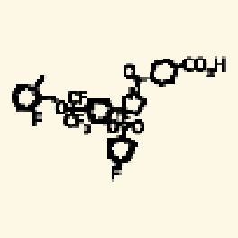 Cc1cccc(F)c1COC(c1ccc([C@]2(S(=O)(=O)c3ccc(F)cc3)CCN(C(=O)[C@H]3CC[C@H](C(=O)O)CC3)C2)cc1)(C(F)(F)F)C(F)(F)F